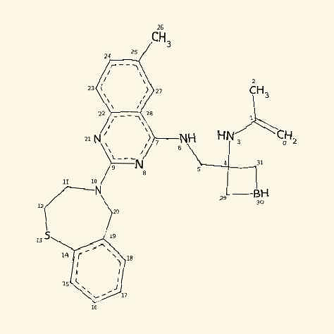 C=C(C)NC1(CNc2nc(N3CCSc4ccccc4C3)nc3ccc(C)cc23)CBC1